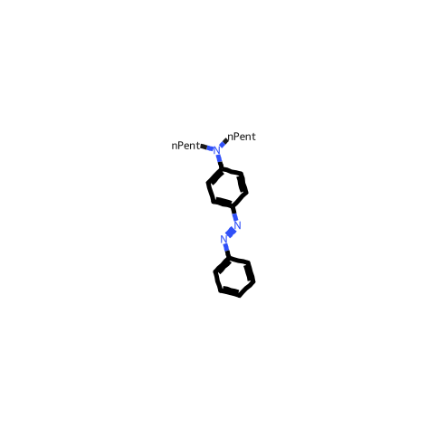 CCCCCN(CCCCC)c1ccc(N=Nc2ccccc2)cc1